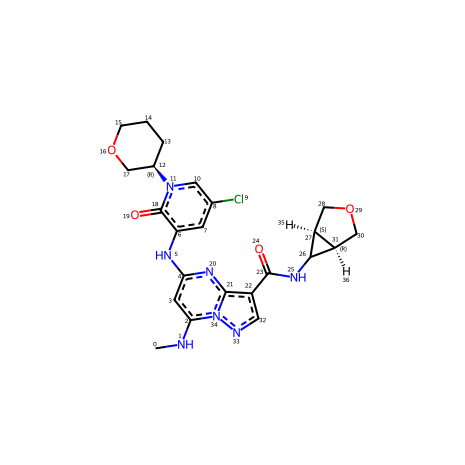 CNc1cc(Nc2cc(Cl)cn([C@@H]3CCCOC3)c2=O)nc2c(C(=O)NC3[C@H]4COC[C@@H]34)cnn12